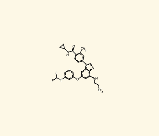 Cc1cc(-n2cnc3c(NCCC(F)(F)F)cc(Oc4cccc(OC(F)F)c4)cc32)ccc1C(=O)NC1CC1